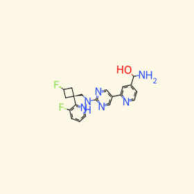 NC(O)c1ccnc(-c2cnc(NC[C@]3(c4ncccc4F)C[C@H](F)C3)nc2)c1